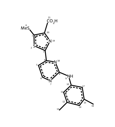 CSc1sc(-c2ccnc(Nc3cc(C)cc(C)c3)n2)nc1C(=O)O